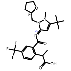 CC(C(=O)O)c1ccc(C(F)(F)F)cc1C(=O)/N=c1\cc(C(C)(C)C)n(C)n1C[C@H]1CCCO1